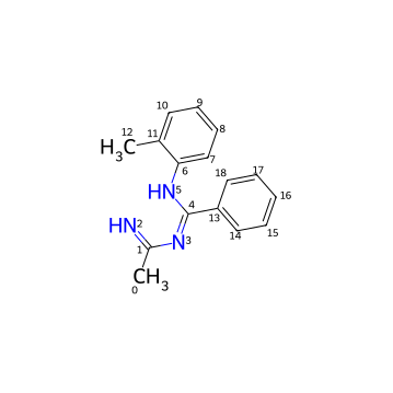 CC(=N)/N=C(\Nc1ccccc1C)c1ccccc1